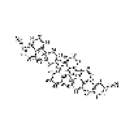 N#Cc1ccc2c(c1)-c1cccc3c(-c4c5ccccc5c(-c5ccc6c(c5)Oc5ccc(C#N)c7cccc-6c57)c5ccccc45)ccc(c13)O2